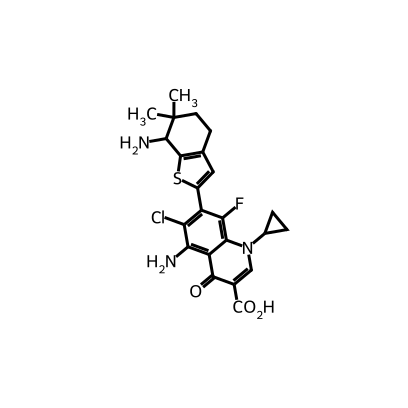 CC1(C)CCc2cc(-c3c(Cl)c(N)c4c(=O)c(C(=O)O)cn(C5CC5)c4c3F)sc2C1N